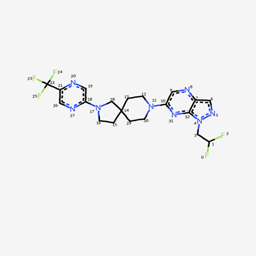 FC(F)Cn1ncc2ncc(N3CCC4(CCN(c5cnc(C(F)(F)F)cn5)C4)CC3)nc21